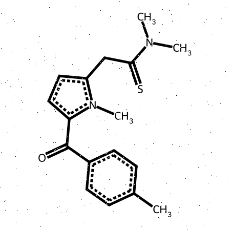 Cc1ccc(C(=O)c2ccc(CC(=S)N(C)C)n2C)cc1